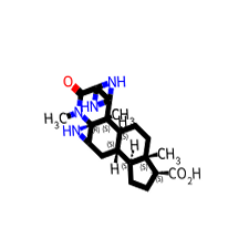 CN1C(=O)C23NC2(N3)[C@]2(C)[C@H]3CC[C@]4(C)[C@@H](C(=O)O)CC[C@H]4[C@@H]3CC3N[C@@]312